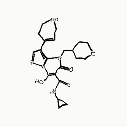 O=C(NC1CC1)c1c(O)n2ncc(C3=CCNCC3)c2n(CC2CCOCC2)c1=O